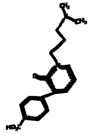 CN(C)CCCn1cccc(-c2ccc(C(=O)O)cc2)c1=O